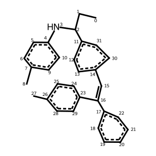 CCC(Nc1ccc(C)cc1)c1ccc(C=C(c2ccccc2)c2ccc(C)cc2)cc1